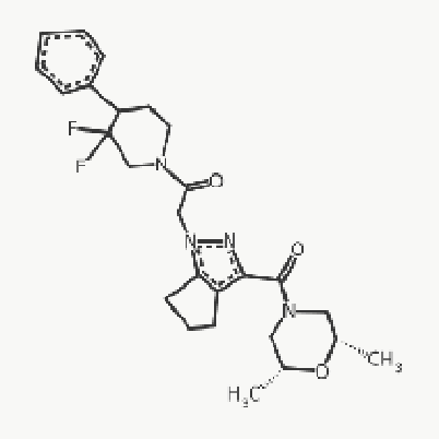 C[C@@H]1CN(C(=O)c2nn(CC(=O)N3CCC(c4ccccc4)C(F)(F)C3)c3c2CCC3)C[C@H](C)O1